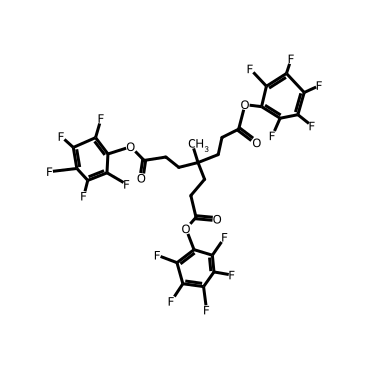 CC(CCC(=O)Oc1c(F)c(F)c(F)c(F)c1F)(CCC(=O)Oc1c(F)c(F)c(F)c(F)c1F)CCC(=O)Oc1c(F)c(F)c(F)c(F)c1F